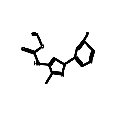 Cc1nn(-c2cncc(F)c2)cc1NC(=O)OC(C)(C)C